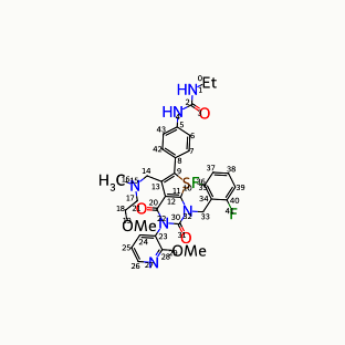 CCNC(=O)Nc1ccc(-c2sc3c(c2CN(C)CCOC)c(=O)n(-c2cccnc2OC)c(=O)n3Cc2c(F)cccc2F)cc1